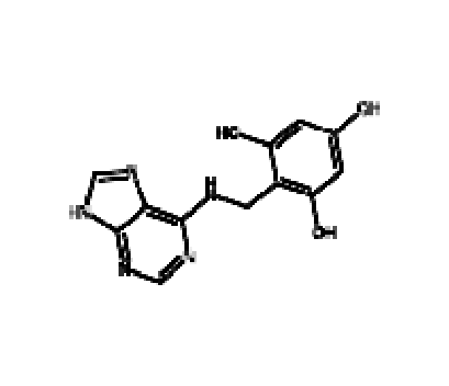 Oc1cc(O)c(CNc2ncnc3[nH]cnc23)c(O)c1